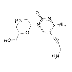 NCC#Cc1cn(C2CNCC(CO)O2)c(=O)nc1N